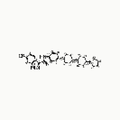 Clc1ccc2c(-c3nc4cc(N5CCC(N6CCC(N7CCCC7)CC6)CC5)ccc4[nH]3)n[nH]c2c1